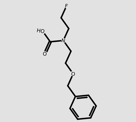 O=C(O)N(CCF)CCOCc1ccccc1